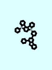 c1ccc(-c2cc(-c3cccc(-n4c5ccccc5c5c6c7ccccc7n(-c7ccccc7)c6ccc54)c3)cc3c2Cc2ccccc2-3)cc1